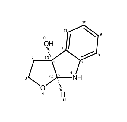 O[C@@]12CCO[C@@H]1Nc1ccccc12